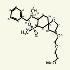 COCCOCOC1COC2(CCC(N(C)Cc3ccccc3)C(S(C)(=O)=O)C2)C1